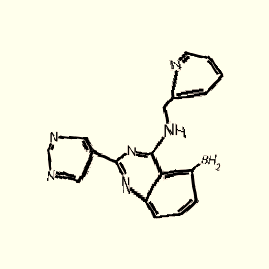 Bc1cccc2nc(-c3cncnc3)nc(NCc3ccccn3)c12